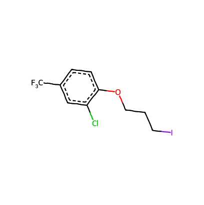 FC(F)(F)c1ccc(OCCCI)c(Cl)c1